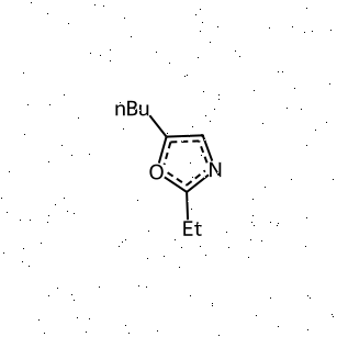 [CH2]Cc1ncc(CCCC)o1